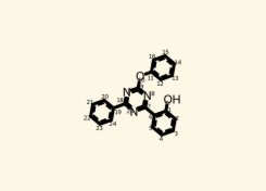 Oc1ccccc1-c1nc(Oc2ccccc2)nc(-c2ccccc2)n1